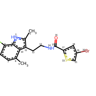 Cc1[nH]c2c(F)ccc(C)c2c1CCNC(=O)c1cc(Br)cs1